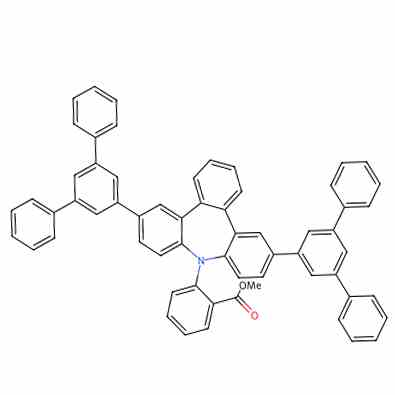 COC(=O)c1ccccc1N1c2ccc(-c3cc(-c4ccccc4)cc(-c4ccccc4)c3)cc2-c2ccccc2-c2cc(-c3cc(-c4ccccc4)cc(-c4ccccc4)c3)ccc21